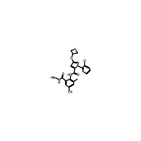 CCCCNC(=O)c1cc(C#N)cc(C)c1NC(=O)c1cc(OC2CSC2)nn1-c1ncccc1Cl